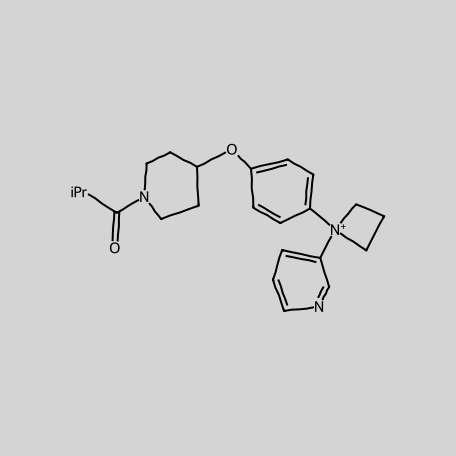 CC(C)C(=O)N1CCC(Oc2ccc([N+]3(c4cccnc4)CCC3)cc2)CC1